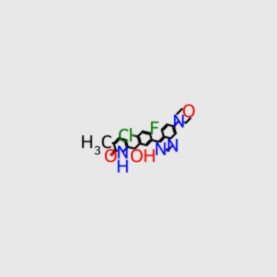 Cc1ccc(C(O)c2cc(-c3ncnc4cc(N5CCOCC5)ccc34)c(F)cc2Cl)[nH]c1=O